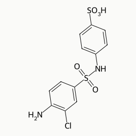 Nc1ccc(S(=O)(=O)Nc2ccc(S(=O)(=O)O)cc2)cc1Cl